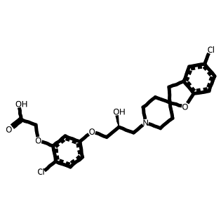 O=C(O)COc1cc(OC[C@@H](O)CN2CCC3(CC2)Cc2cc(Cl)ccc2O3)ccc1Cl